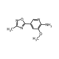 COc1cc(-c2nc(C)no2)cnc1N